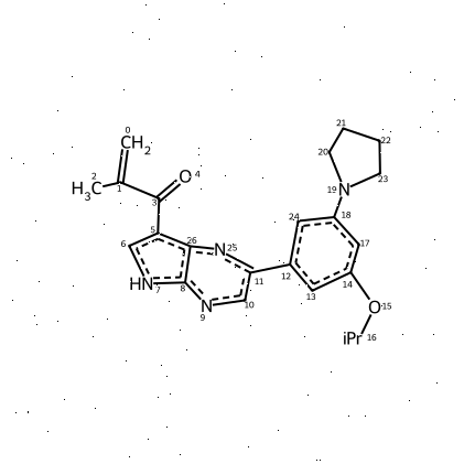 C=C(C)C(=O)c1c[nH]c2ncc(-c3cc(OC(C)C)cc(N4CCCC4)c3)nc12